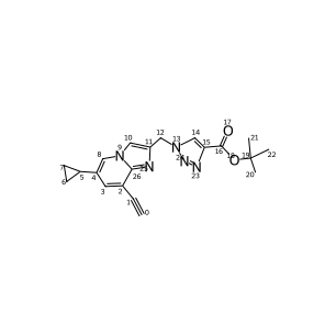 C#Cc1cc(C2CC2)cn2cc(Cn3cc(C(=O)OC(C)(C)C)nn3)nc12